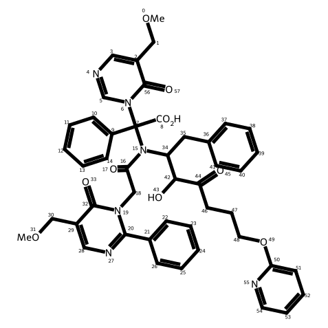 COCc1cncn(C(C(=O)O)(c2ccccc2)N(C(=O)Cn2c(-c3ccccc3)ncc(COC)c2=O)C(Cc2ccccc2)C(O)C(=O)CCCOc2ccccn2)c1=O